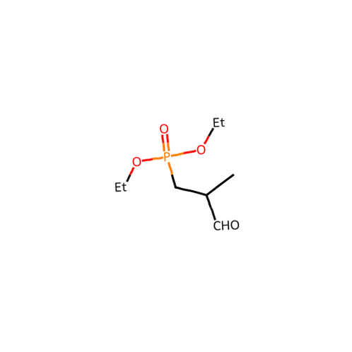 CCOP(=O)(CC(C)C=O)OCC